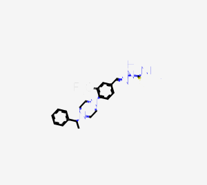 CC(c1ccccc1)N1CCN(c2ccc(C=NNC(N)=S)cc2C(F)(F)F)CC1